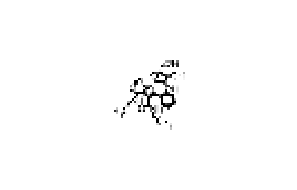 CCNC(=O)c1c(-c2ccccc2)n([C@@H]2O[C@H](CO)[C@@H](O)[C@H]2O)c2ncnc(NCC)c12